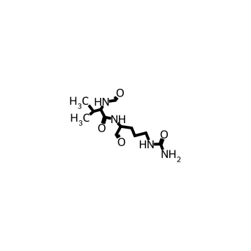 CC(C)C(NC=O)C(=O)NC(C=O)CCCNC(N)=O